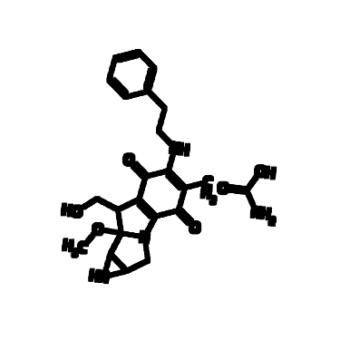 COC12C(CO)C3=C(C(=O)C(C)=C(NCCc4ccccc4)C3=O)N1CC1NC12.NC(=O)O